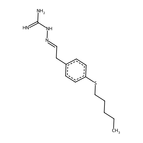 CCCCCSc1ccc(CC=NNC(=N)N)cc1